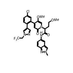 COCCC(C(=O)Nc1ccc2nn(C)cc2c1)n1cc(OC)c(-c2cc(Cl)ccc2-c2cnn(CC(F)(F)F)c2)cc1=O